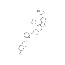 CC(C)(C)OC(=O)c1ccc2nc(CN3CC=C(c4nccc(OCc5ccc(Cl)cc5F)n4)CC3)n(CC3CCO3)c2c1